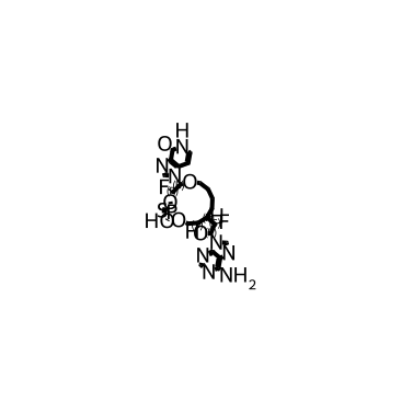 Nc1ncnc2c1ncn2[C@@H]1O[C@@H]2COP(O)(=S)O[C@H](F)[C@H](n3cnc4c(=O)[nH]ccc43)OCCCC[C@H]2[C@@H]1F